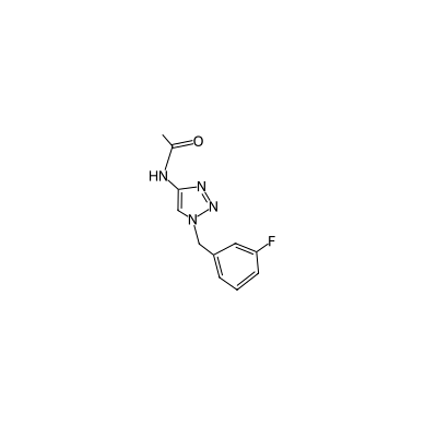 CC(=O)Nc1cn(Cc2cccc(F)c2)nn1